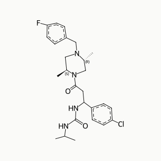 CC(C)NC(=O)NC(CC(=O)N1C[C@@H](C)N(Cc2ccc(F)cc2)C[C@@H]1C)c1ccc(Cl)cc1